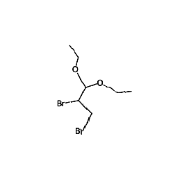 CCOC(OCC)C(Br)CBr